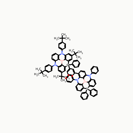 CC(C)(C)c1ccc(N2c3cccc4c3B3c5c2cc(C(C)(C)C)cc5[Si](c2ccccc2)(c2cccc(-c5ccc6c7c5N(c5ccccc5)c5cccc8c5B7c5c(cccc5[Si]8(c5ccccc5)c5ccccc5)N6c5ccccc5)c2)c2cc(C(C)(C)C)cc(c23)N4c2ccc(C(C)(C)C)cc2)cc1